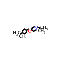 CC(C)CN1CCC(OCC2CCC(C(C)C)CC2)CC1